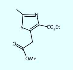 CCOC(=O)c1nc(C)sc1CC(=O)OC